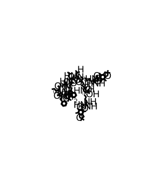 CC[C@H](C)[C@H](NC(=O)[C@@H](N)Cc1ccccc1)C(=O)N[C@@H](C)C(=O)N[C@@H](Cc1cn(C(=O)OC(C)(C)C)c2ccccc12)C(=O)N[C@@H](CC(C)C)C(=O)N[C@H](C(=O)N[C@@H](CCCNC(=N)NS(=O)(=O)c1c(C)c(C)c2c(c1C)CC(C)(C)O2)C(=O)NCC(=O)N[C@@H](CCCNC(=N)NS(=O)(=O)c1c(C)c(C)c2c(c1C)CC(C)(C)O2)C(=O)O)C(C)C